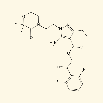 CCc1nn(CCN2CCOC(C)(C)C2=O)c(N)c1C(=O)OCC(=O)c1c(F)cccc1F